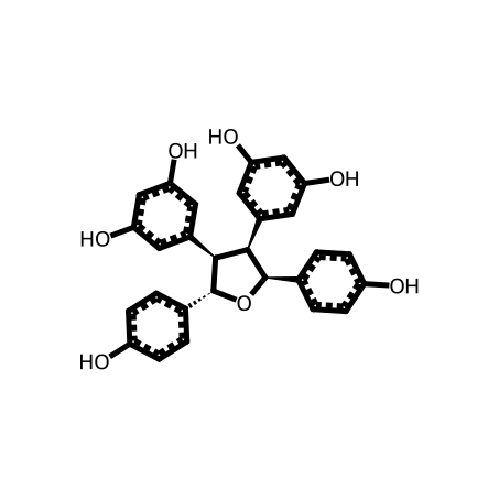 Oc1ccc([C@H]2O[C@H](c3ccc(O)cc3)[C@@H](c3cc(O)cc(O)c3)[C@H]2c2cc(O)cc(O)c2)cc1